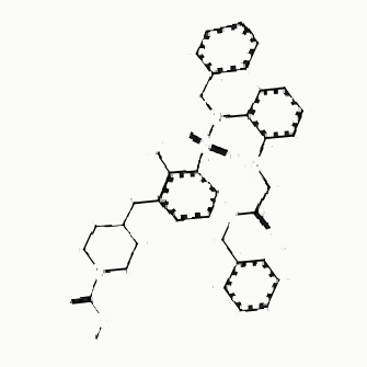 CC(C)(C)OC(=O)N1CCC(Cc2cccc(S(=O)(=O)N(Cc3ccccc3)c3ccccc3NCC(=O)OCc3ccccc3)c2Cl)CC1